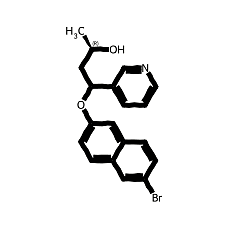 C[C@@H](O)CC(Oc1ccc2cc(Br)ccc2c1)c1cccnc1